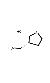 Cl.NC[C@H]1CCOC1